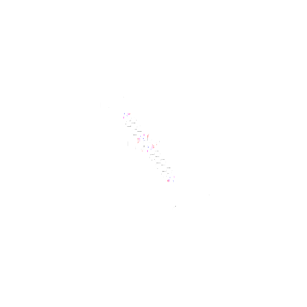 CCCCCCCCCC(CCCCCCCCC)N1C(=O)c2ccc3c4ccc5c6ccc7c8c(ccc(c9ccc(c%10ccc(c2c3%10)C1=O)c4c59)c86)C(=O)N(c1c(C)c(C)c(N2C(=O)c3ccc4c5ccc6c8c(ccc(c9ccc(c3c49)C2=O)c85)C(=O)N(C(CCCCCC)CCCCCC)C6=O)c(C)c1C)C7=O